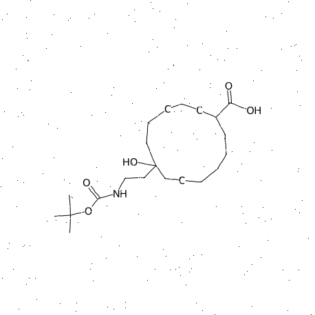 CC(C)(C)OC(=O)NCCC1(O)CCCCCCC(C(=O)O)CCCCC1